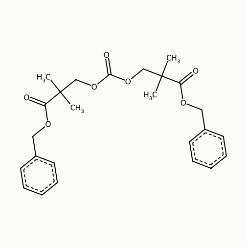 CC(C)(COC(=O)OCC(C)(C)C(=O)OCc1ccccc1)C(=O)OCc1ccccc1